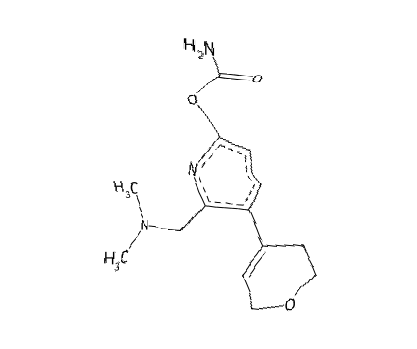 CN(C)Cc1nc(OC(N)=O)ccc1C1=CCOCC1